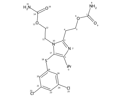 CC(C)c1nc(CCOC(N)=O)n(CCOC(N)=O)c1Sc1cc(Cl)cc(Cl)c1